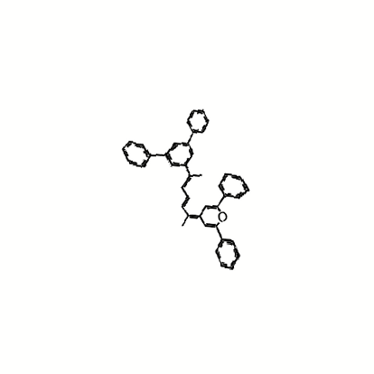 CC(/C=C/C=C(\C)c1cc(-c2ccccc2)cc(-c2ccccc2)c1)=C1C=C(c2ccccc2)OC(c2ccccc2)=C1